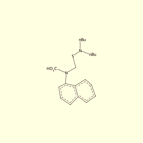 CCCCN(CCCC)SCN(C(=O)O)c1cccc2ccccc12